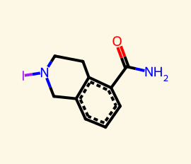 NC(=O)c1cccc2c1CCN(I)C2